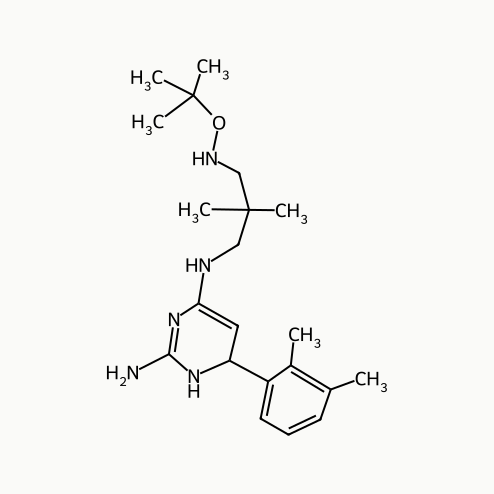 Cc1cccc(C2C=C(NCC(C)(C)CNOC(C)(C)C)N=C(N)N2)c1C